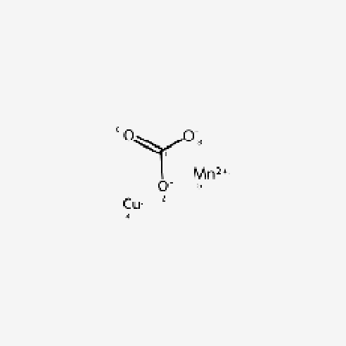 O=C([O-])[O-].[Cu].[Mn+2]